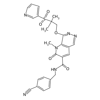 Cn1c(=O)c(C(=O)NCc2ccc(C#N)cc2)cc2cnnc(OCC(C)(C)S(=O)(=O)c3cccnc3)c21